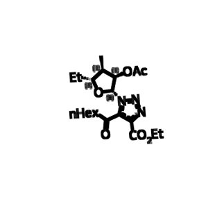 CCCCCCC(=O)c1c(C(=O)OCC)nnn1[C@@H]1O[C@H](CC)[C@@H](C)[C@H]1OC(C)=O